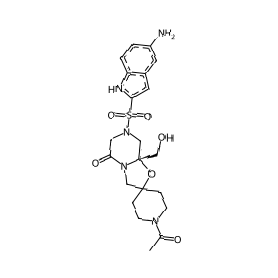 CC(=O)N1CCC2(CC1)CN1C(=O)CN(S(=O)(=O)c3cc4cc(N)ccc4[nH]3)C[C@]1(CO)O2